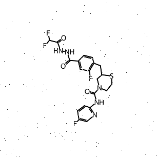 O=C(NNC(=O)C(F)F)c1ccc(CC2CN(C(=O)Nc3ccc(F)cn3)CCS2)c(F)c1